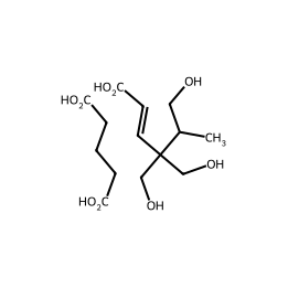 CC(CO)C(C=CC(=O)O)(CO)CO.O=C(O)CCCC(=O)O